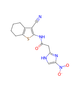 N#Cc1c(NC(=O)Cc2nc([N+](=O)[O-])c[nH]2)sc2c1CCCC2